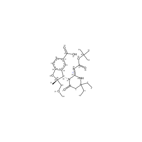 CCC1(CC)CC(=O)N([C@H]2c3cc(C(=O)O)ccc3O[C@@]2(C)COC)/C(=N/C(=O)OC(C)(C)C)N1